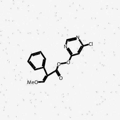 COC=C(C(=O)OOc1cc(Cl)ncn1)c1ccccc1